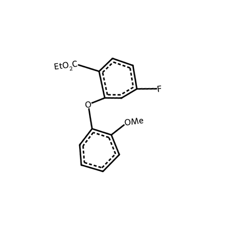 CCOC(=O)c1ccc(F)cc1Oc1ccccc1OC